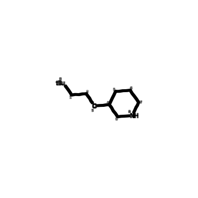 CC(C)(C)CCOC1CCCNC1